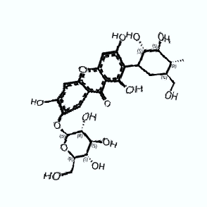 C[C@@H]1[C@@H](CO)CC(c2c(O)cc3oc4cc(O)c(O[C@@H]5O[C@H](CO)[C@@H](O)[C@H](O)[C@H]5O)cc4c(=O)c3c2O)[C@H](O)[C@H]1O